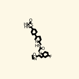 O=C(Cn1c(-c2ncco2)cc2cc(F)ccc21)NCc1ccc(-c2ccc(C3NNC(=O)S3)cc2)cn1